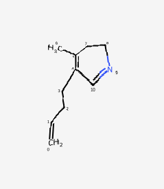 C=CCCC1=C(C)CCN=C1